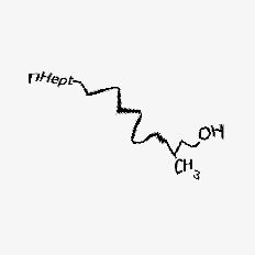 CCCCCCCCCCCCCCC[C@@H](C)CCO